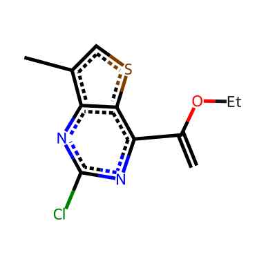 C=C(OCC)c1nc(Cl)nc2c(C)csc12